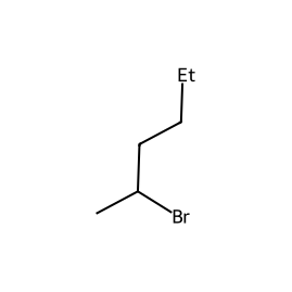 [CH2]CCCC(C)Br